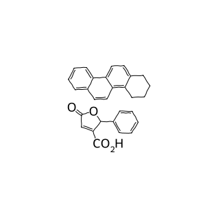 O=C1C=C(C(=O)O)C(c2ccccc2)O1.c1ccc2c(c1)ccc1c3c(ccc12)CCCC3